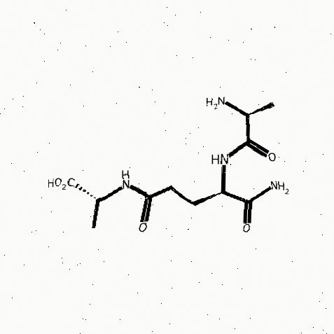 C[C@H](N)C(=O)N[C@H](CCC(=O)N[C@H](C)C(=O)O)C(N)=O